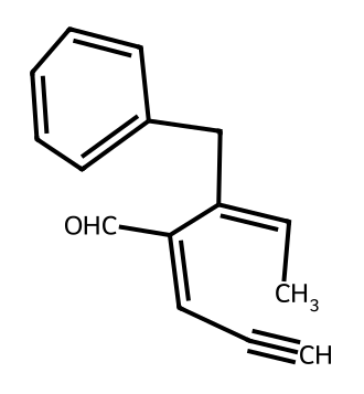 C#C/C=C(C=O)\C(=C/C)Cc1ccccc1